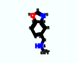 CC(C)NCc1ccc2ocnc2c1